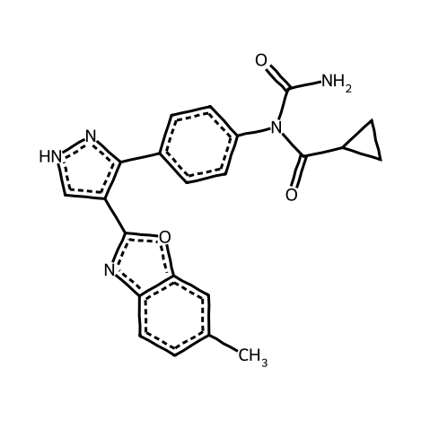 Cc1ccc2nc(-c3c[nH]nc3-c3ccc(N(C(N)=O)C(=O)C4CC4)cc3)oc2c1